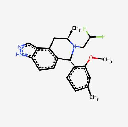 COc1cc(C)ccc1[C@@H]1c2ccc3[nH]ncc3c2C[C@@H](C)N1CC(F)F